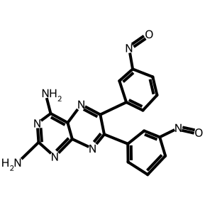 Nc1nc(N)c2nc(-c3cccc(N=O)c3)c(-c3cccc(N=O)c3)nc2n1